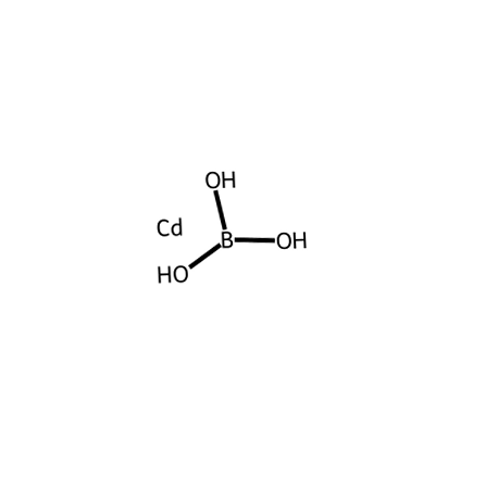 OB(O)O.[Cd]